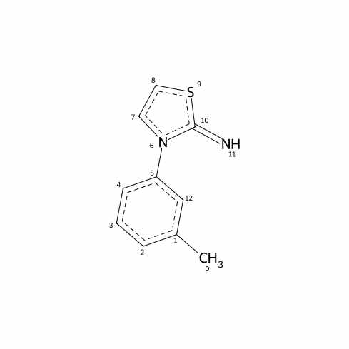 Cc1cccc(-n2ccsc2=N)c1